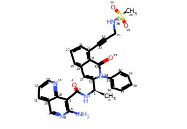 C[C@@H](NC(=O)c1c(N)ncc2cccnc12)c1cc2cccc(C#CCNS(C)(=O)=O)c2c(=O)n1-c1ccccc1